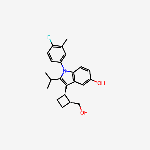 Cc1cc(-n2c(C(C)C)c([C@@H]3CC[C@@H]3CO)c3cc(O)ccc32)ccc1F